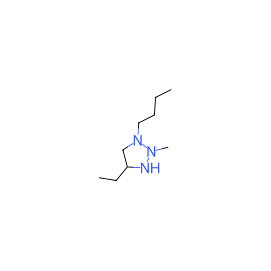 CCCCN1CC(CC)NN1C